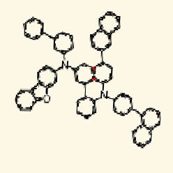 c1ccc(-c2cccc(N(c3cccc(-c4ccccc4N(c4ccc(-c5ccc6ccccc6c5)cc4)c4ccc(-c5cccc6ccccc56)cc4)c3)c3ccc4c(c3)oc3ccccc34)c2)cc1